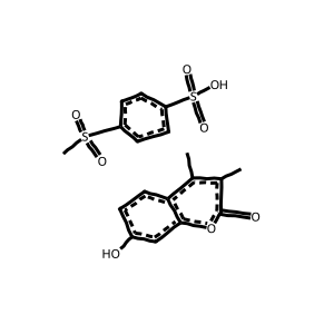 CS(=O)(=O)c1ccc(S(=O)(=O)O)cc1.Cc1c(C)c2ccc(O)cc2oc1=O